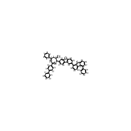 CCC1CC(c2ccccc2)=NC(c2ccc(-c3ccccc3)cc2)=NC1c1ccc2c(c1)oc1ccc(-c3cccc4c3sc3cccc(-c5ccccc5)c34)cc12